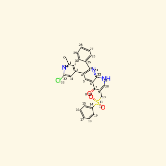 Cc1cc(-c2cc3c(=O)c(CS(=O)(=O)c4ccccc4)c[nH]c3nc2-c2ccccc2)cc(Cl)n1